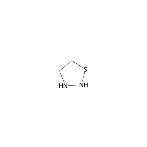 [CH]1CNNS1